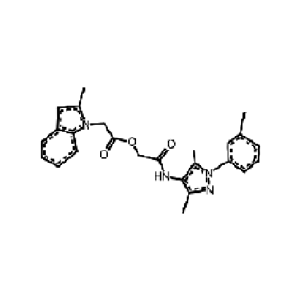 Cc1cccc(-n2nc(C)c(NC(=O)COC(=O)Cn3c(C)cc4ccccc43)c2C)c1